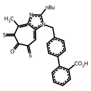 CCCCc1nc2c(n1Cc1ccc(-c3ccccc3C(=O)O)cc1)=CC(=S)C(=O)C(=S)C=2C